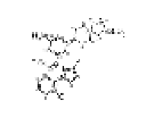 Cc1ccn(-c2c(Cl)cccc2[C@@H](Oc2cc(N3CCC4(CC3)CN[C@H](C(=O)O)C4)nc(N)n2)C(F)(F)F)n1